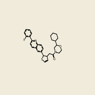 O=C(CC1C=CSC1c1ccc2nc(-c3ccccc3F)ccc2c1)N1CCOC(C2CCCCC2)C1